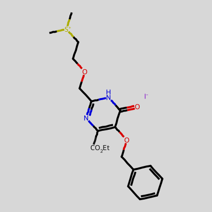 CCOC(=O)c1nc(COCC[S+](C)C)[nH]c(=O)c1OCc1ccccc1.[I-]